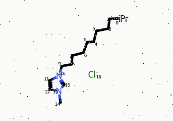 CC(C)CCCCCCCCC[n+]1ccn(C)c1.[Cl-]